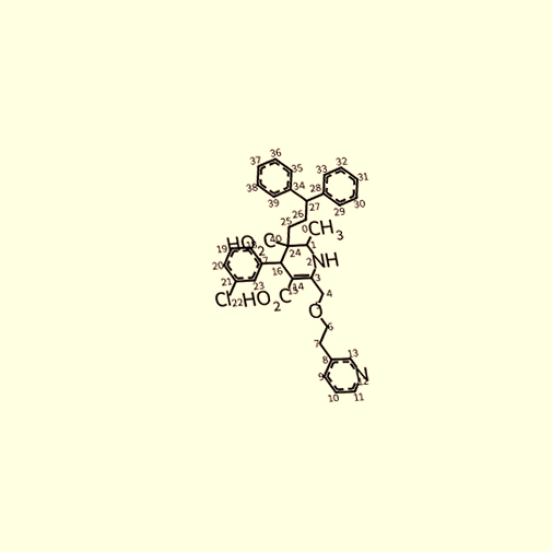 CC1NC(COCCc2cccnc2)=C(C(=O)O)C(c2cccc(Cl)c2)C1(CCC(c1ccccc1)c1ccccc1)C(=O)O